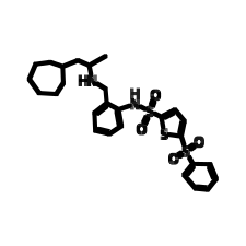 CC(CC1CCCCCC1)NCc1ccccc1NS(=O)(=O)c1ccc(S(=O)(=O)c2ccccc2)s1